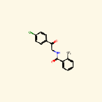 O=C(CNC(=O)c1ccccc1C(F)(F)F)c1ccc(Cl)cc1